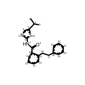 CC(C)c1cnc(NC(=O)c2ccccc2CCc2ccccc2)s1